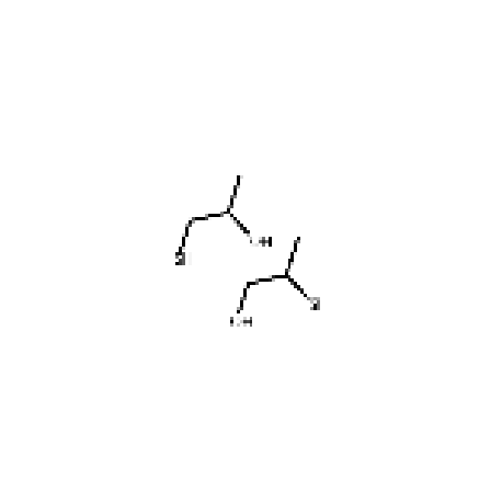 CC(O)CS.CC(S)CO